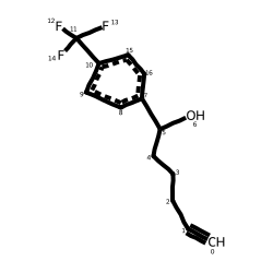 C#CCCCC(O)c1ccc(C(F)(F)F)cc1